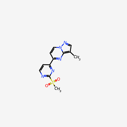 Cc1cnn2ccc(-c3ccnc(S(C)(=O)=O)n3)nc12